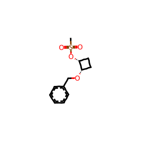 CS(=O)(=O)O[C@@H]1CC[C@@H]1OCc1ccccc1